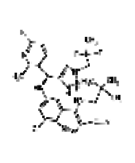 Cc1nc(F)ccc1[C@H](Nc1cc(Cl)c2ncc(C#N)c(NCC(C)(C)C)c2c1)C1=CN(CC(C)(F)F)NN1